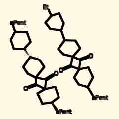 CCCCCC1CCC([C@H]2CCC3(CC2)C(=O)C2(CC[C@H](CCCCC)CC2)C3=O)CC1.CCCCCC1CCC2(CC1)C(=O)C1(CCC(C3CCC(CC)CC3)CC1)C2=O